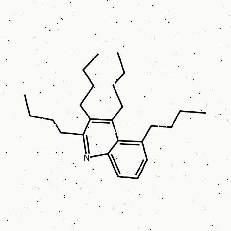 CCCCc1nc2cccc(CCCC)c2c(CCCC)c1CCCC